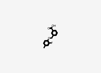 Cc1ccc(OCc2cccc(C(=O)O)c2)c(F)c1